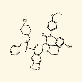 Cl.O=C(c1cc(-c2cc3c(cc2C(=O)N2Cc4ccccc4C[C@H]2CN2CCOCC2)OCO3)n2c1CCCC2)N(c1ccc(O)cc1)c1ccc(OC(F)(F)F)cc1